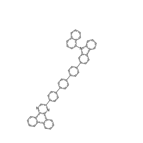 c1ccc2c(-n3c4ccccc4c4ccc(-c5ccc(-c6ccc(-c7ccc(-c8cnc9c%10ccccc%10c%10ccccc%10c9n8)cc7)cc6)cc5)cc43)cccc2c1